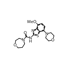 COc1ccc(N2CCOCC2)c2sc(NC(=O)N3CCCOCC3)nc12